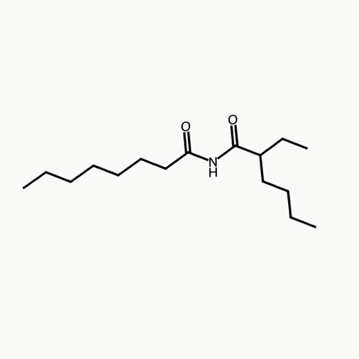 CCCCCCCC(=O)NC(=O)C(CC)CCCC